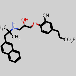 CCOC(=O)CCc1ccc(OC[C@H](O)CNC(C)(C)Cc2ccc3ccccc3c2)c(C#N)c1